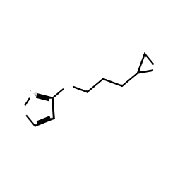 c1cc(OCCCC2CO2)no1